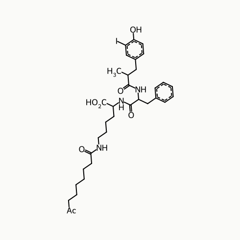 CC(=O)CCCCCCC(=O)NCCCCC(NC(=O)C(Cc1ccccc1)NC(=O)C(C)Cc1ccc(O)c(I)c1)C(=O)O